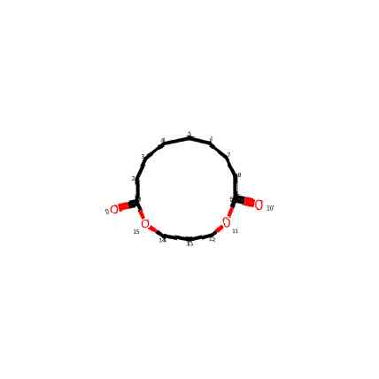 O=C1CCCCCCCC(=O)OCCCO1